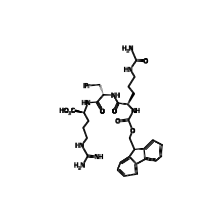 CC(C)C[C@H](NC(=O)[C@@H](CCCNC(N)=O)NC(=O)OCC1c2ccccc2-c2ccccc21)C(=O)N[C@@H](CCCNC(=N)N)C(=O)O